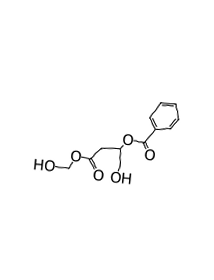 O=C(CC(CO)OC(=O)c1ccccc1)OCO